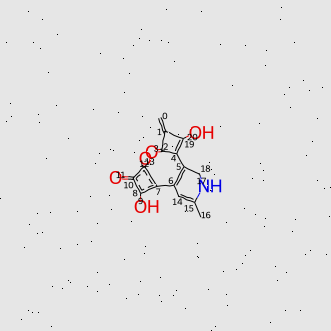 C=C1C(=O)C(C2=C(c3c(O)c(=O)c3=O)C=C(C)NC2)=C1O